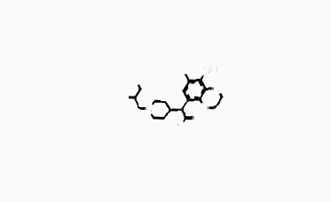 CCC(C)CN1CCC(C(C(N)=O)c2cc(Cl)c(N)c3c2OCCO3)CC1